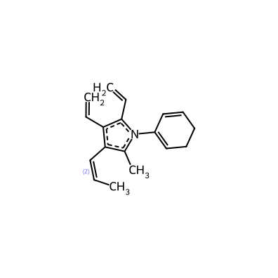 C=Cc1c(/C=C\C)c(C)n(C2=CCCC=C2)c1C=C